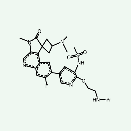 CC(C)NCCOc1ncc(-c2cc3c4c(cnc3cc2F)N(C)C(=O)C42CC(N(C)C)C2)cc1NS(C)(=O)=O